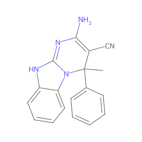 CC1(c2ccccc2)C(C#N)=C(N)N=C2Nc3ccccc3N21